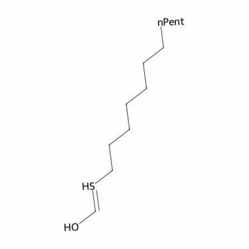 CCCCCCCCCCCC[SH]=CO